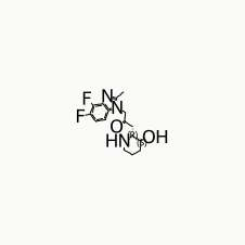 Cc1nc2c(F)c(F)ccc2n1CC(=O)C[C@H]1NCCC[C@@H]1O